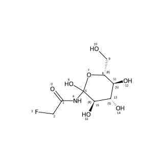 O=C(CF)NC1(O)O[C@H](CO)[C@@H](O)[C@H](O)[C@H]1O